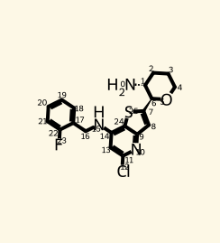 N[C@@H]1CCCO[C@H]1c1cc2nc(Cl)cc(NCc3ccccc3F)c2s1